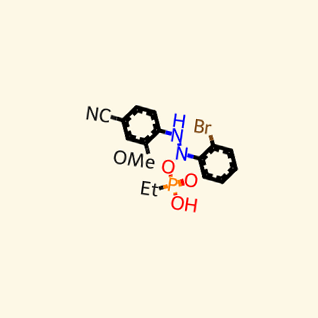 CCP(=O)(O)ON(Nc1ccc(C#N)cc1OC)c1ccccc1Br